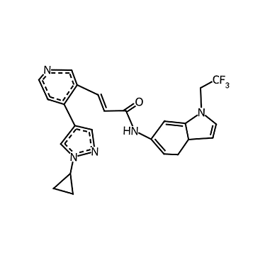 O=C(/C=C/c1cnccc1-c1cnn(C2CC2)c1)NC1=CCC2C=CN(CC(F)(F)F)C2=C1